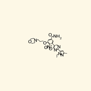 CCn1nc(C)cc1-c1ncc(-c2cc(C(N)=O)cc(OCCCN3CCOCC3)c2[N+](=O)[O-])cn1